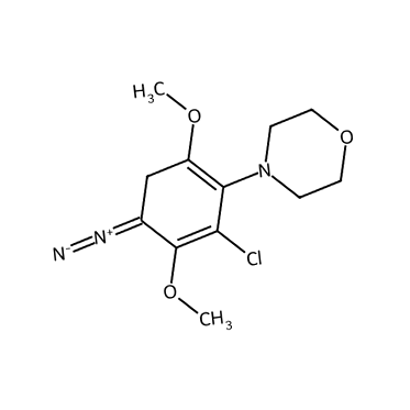 COC1=C(N2CCOCC2)C(Cl)=C(OC)C(=[N+]=[N-])C1